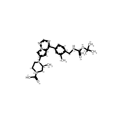 Cc1cc(-c2ncnn3cc(N4CCN(C(=O)O)C[C@@H]4C)cc23)ccc1CNC(=O)OC(C)(C)C